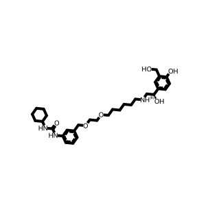 O=C(Nc1cccc(COCCOCCCCCCNC[C@H](O)c2ccc(O)c(CO)c2)c1)NC1CCCCC1